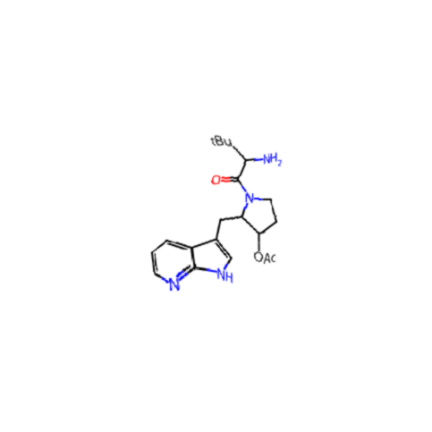 CC(=O)OC1CCN(C(=O)C(N)C(C)(C)C)C1Cc1c[nH]c2ncccc12